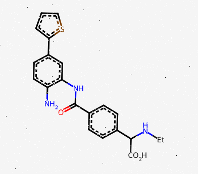 CCNC(C(=O)O)c1ccc(C(=O)Nc2cc(-c3cccs3)ccc2N)cc1